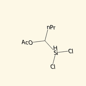 CCCC(OC(C)=O)[SiH](Cl)Cl